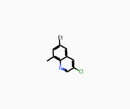 CCc1cc(C)c2ncc(Cl)cc2c1